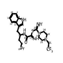 CC(C)CCC(Cc1c[nH]c2ccccc12)NC(=O)C(=N)SC(=N)N1CCN(CC(F)(F)F)CC1